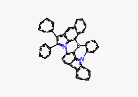 c1ccc(-c2c(-c3ccccc3)n3c4c(c5ccccc5cc24)B2c4ccccc4-n4c5ccccc5c5ccc-3c2c54)cc1